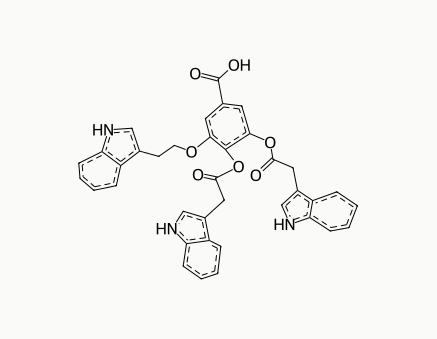 O=C(Cc1c[nH]c2ccccc12)Oc1cc(C(=O)O)cc(OCCc2c[nH]c3ccccc23)c1OC(=O)Cc1c[nH]c2ccccc12